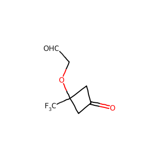 O=CCOC1(C(F)(F)F)CC(=O)C1